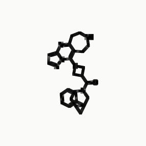 O=C(C1CN(c2c3c(nc4ccnn24)CCNCC3)C1)N1CCC2CC2(c2ccccc2)C1